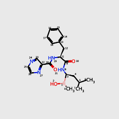 CB(O)[C@H](CC(C)C)NC(=O)[C@H](Cc1ccccc1)NC(=O)c1cnccn1